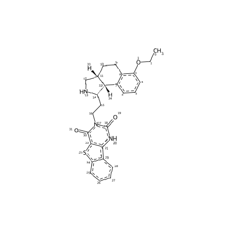 CCOc1cccc2c1CC[C@H]1CNC(CCn3c(=O)[nH]c4c(sc5ccccc54)c3=O)[C@@H]21